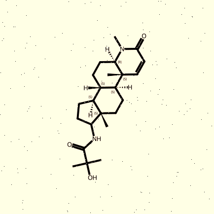 CN1C(=O)C=C[C@]2(C)[C@H]3CC[C@]4(C)C(NC(=O)C(C)(C)O)CC[C@H]4[C@@H]3CC[C@@H]12